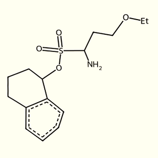 CCOCCC(N)S(=O)(=O)OC1CCCc2ccccc21